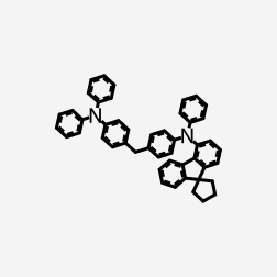 c1ccc(N(c2ccccc2)c2ccc(Cc3ccc(N(c4ccccc4)c4cccc5c4-c4ccccc4C54CCCC4)cc3)cc2)cc1